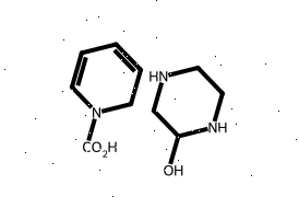 O=C(O)N1C=CC=CC1.OC1CNCCN1